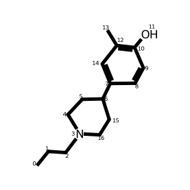 CCCN1CCC(c2ccc(O)c(C)c2)CC1